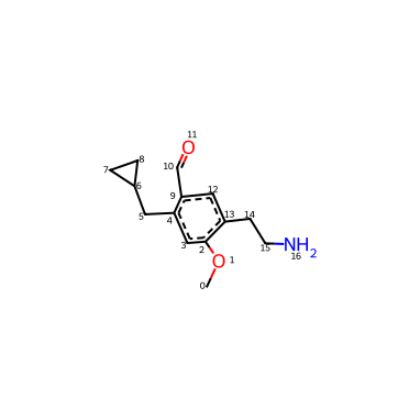 COc1cc(CC2CC2)c(C=O)cc1CCN